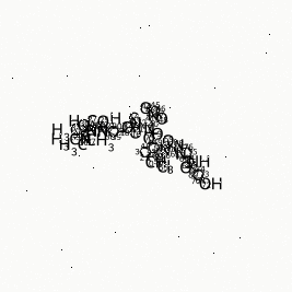 Cc1cccc2c(OC(=O)N(CCN(C)C(=O)OCc3ccc(NC(=O)[C@H](C)NC(=O)[C@H](C(C)C)N(C)C)cc3)CCN3C(=O)C=CC3=O)cc3c(c12)[C@H](CCl)CN3C(=O)c1cn2cc(NC(=O)c3ccc(O)cc3)ccc2n1